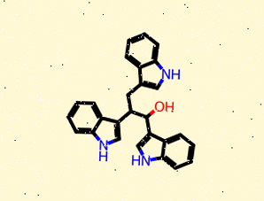 OC(c1c[nH]c2ccccc12)C(Cc1c[nH]c2ccccc12)c1c[nH]c2ccccc12